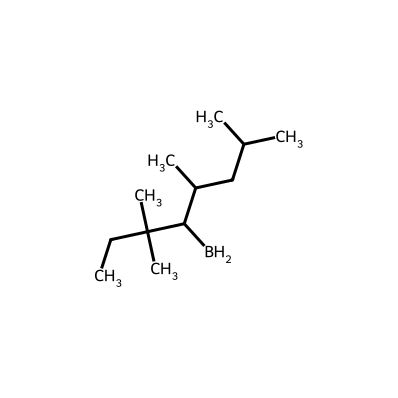 BC(C(C)CC(C)C)C(C)(C)CC